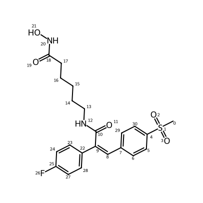 CS(=O)(=O)c1ccc(C=C(C(=O)NCCCCCC(=O)NO)c2ccc(F)cc2)cc1